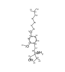 COc1cc(OCCCCCC(C)C)ccc1CCC(N)(CO)C(C)C